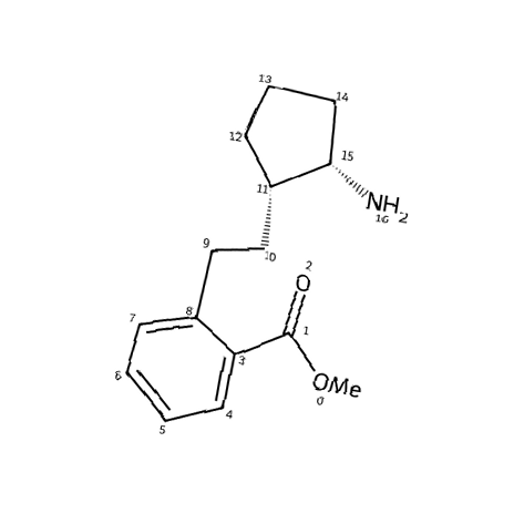 COC(=O)c1ccccc1CC[C@@H]1CCC[C@@H]1N